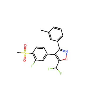 Cc1cccc(-c2noc(C(F)F)c2-c2ccc(S(C)(=O)=O)c(F)c2)c1